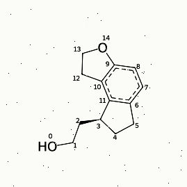 OCC[C@@H]1CCc2ccc3c(c21)CCO3